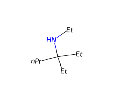 CCCC(CC)(CC)NCC